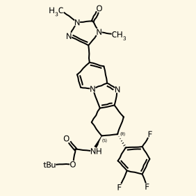 Cn1nc(-c2ccn3c4c(nc3c2)C[C@H](c2cc(F)c(F)cc2F)[C@@H](NC(=O)OC(C)(C)C)C4)n(C)c1=O